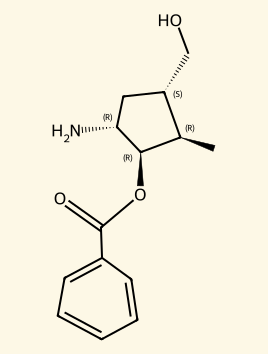 C[C@@H]1[C@@H](CO)C[C@@H](N)[C@@H]1OC(=O)c1ccccc1